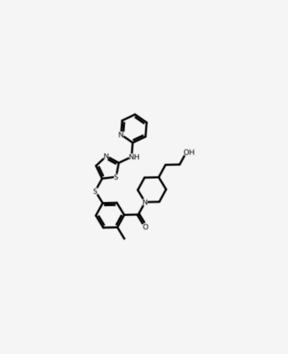 Cc1ccc(Sc2cnc(Nc3ccccn3)s2)cc1C(=O)N1CCC(CCO)CC1